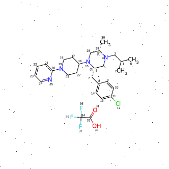 CC(C)CN1C[C@H](Cc2ccc(Cl)cc2)N(C2CCN(c3ccccn3)CC2)C[C@@H]1C.O=C(O)C(F)(F)F